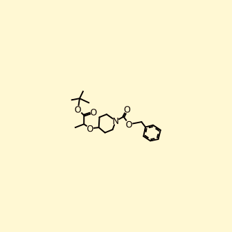 CC(OC1CCN(C(=O)OCc2ccccc2)CC1)C(=O)OC(C)(C)C